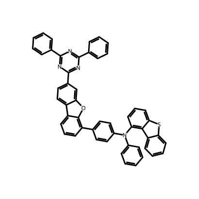 c1ccc(-c2nc(-c3ccccc3)nc(-c3ccc4c(c3)oc3c(-c5ccc(N(c6ccccc6)c6cccc7sc8ccccc8c67)cc5)cccc34)n2)cc1